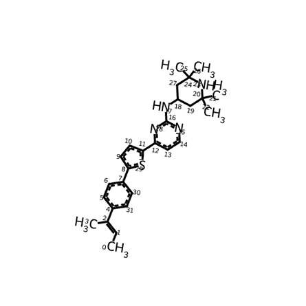 CC=C(C)c1ccc(-c2ccc(-c3ccnc(NC4CC(C)(C)NC(C)(C)C4)n3)s2)cc1